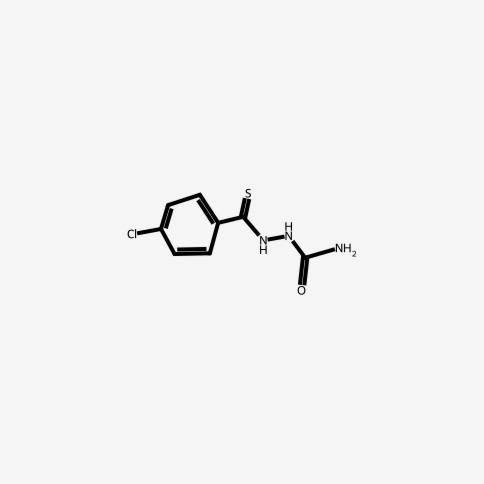 NC(=O)NNC(=S)c1ccc(Cl)cc1